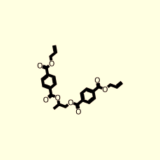 C=CCOC(=O)c1ccc(C(=O)OCC(C)OC(=O)c2ccc(C(=O)OCC=C)cc2)cc1